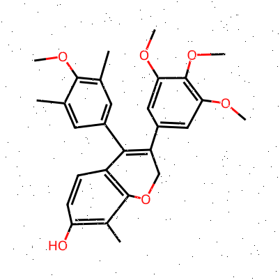 COc1cc(C2=C(c3cc(C)c(OC)c(C)c3)c3ccc(O)c(C)c3OC2)cc(OC)c1OC